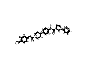 O=C(Nc1ccc(C2CCN(C(=O)Cc3ccc(Cl)cc3)CC2)cc1)[C@H]1CCN(c2cccnn2)C1